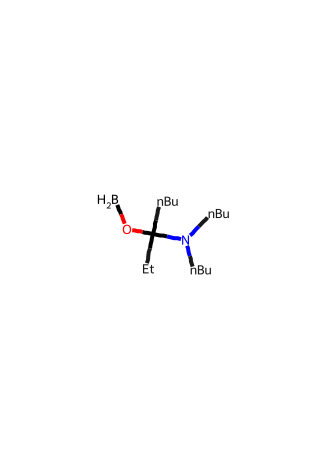 BOC(CC)(CCCC)N(CCCC)CCCC